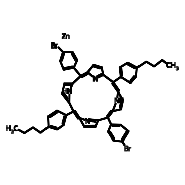 CCCCc1ccc(-c2c3nc(c(-c4ccc(Br)cc4)c4ccc([nH]4)c(-c4ccc(CCCC)cc4)c4nc(c(-c5ccc(Br)cc5)c5ccc2[nH]5)C=C4)C=C3)cc1.[Zn]